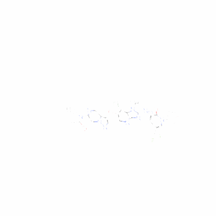 CN(C(=O)C1CC1)c1cn2ncc(Oc3cnc4nc(Nc5cc(C(F)(F)F)cn(C6CCOC6)c5=O)n(C)c4c3Cl)c2cn1